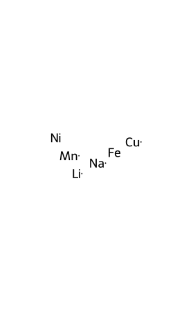 [Cu].[Fe].[Li].[Mn].[Na].[Ni]